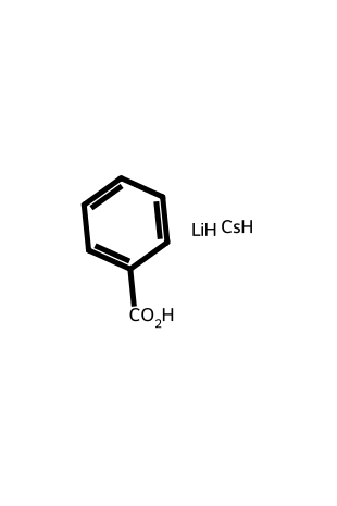 O=C(O)c1ccccc1.[CsH].[LiH]